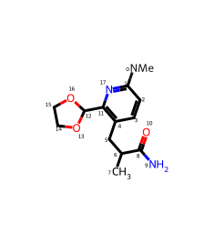 CNc1ccc(CC(C)C(N)=O)c(C2OCCO2)n1